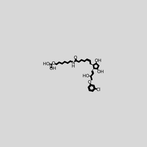 O=C(CCC/C=C\C[C@@H]1[C@@H](/C=C/[C@@H](O)COc2cccc(Cl)c2)[C@H](O)C[C@@H]1O)NCCCCCCON(O)O